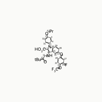 CC(C)Oc1ccc(-n2c(C(=O)O)c(NCC(=O)C(C)(C)C)c3cc(Oc4ccc(OC(F)(F)F)c(F)c4)ccc32)cc1